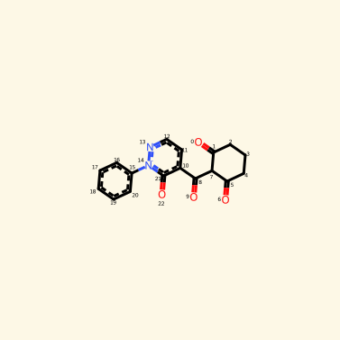 O=C1CCCC(=O)C1C(=O)c1ccnn(-c2ccccc2)c1=O